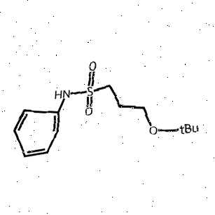 CC(C)(C)OCCCS(=O)(=O)Nc1ccccc1